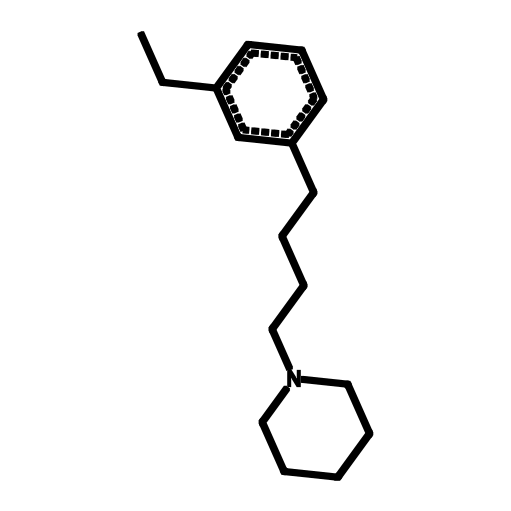 CCc1cccc(CCCCN2CCCCC2)c1